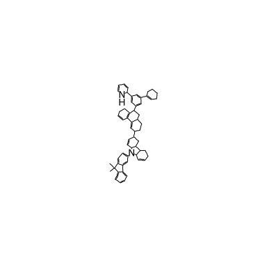 CC1(C)c2ccccc2-c2cc(N3C4C=CCCC4C4CC(C5C=C6C7=C(CCC=C7)C(c7cc(C8=CCCCC8)cc(C8C=CC=CN8)c7)CC6CC5)C=CC43)ccc21